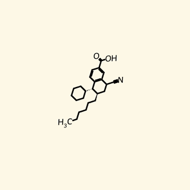 CCCCCC[C@@H]1CC(C#N)c2cc(C(=O)O)ccc2[C@H]1C1CCCCC1